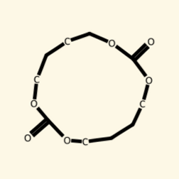 O=C1OCCCCOC(=O)OCCCCO1